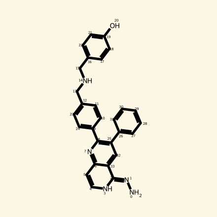 N/N=c1\[nH]ccc2nc(-c3ccc(CNCc4ccc(O)cc4)cc3)c(-c3ccccc3)cc12